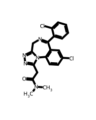 CN(C)C(=O)Cc1nnc2n1-c1ccc(Cl)cc1C(c1ccccc1Cl)=NC2